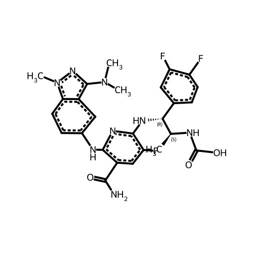 C[C@H](NC(=O)O)[C@H](Nc1nc(Nc2ccc3c(c2)c(N(C)C)nn3C)c(C(N)=O)cc1F)c1ccc(F)c(F)c1